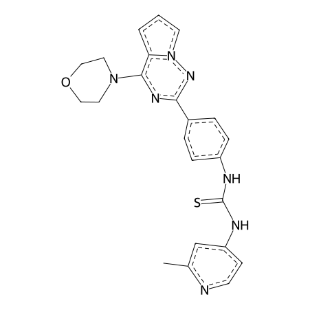 Cc1cc(NC(=S)Nc2ccc(-c3nc(N4CCOCC4)c4cccn4n3)cc2)ccn1